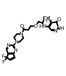 CC(COCCC(=O)N1CCN(c2ncc3c(n2)C=CC3(F)F)CC1)Nc1cn[nH]c(=O)c1C(F)(F)F